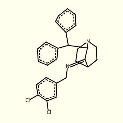 Clc1ccc(C/N=C2\C3CCN(CC3)C2C(c2ccccc2)c2ccccc2)cc1Cl